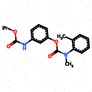 Cc1ccccc1N(C)C(=O)Oc1cccc(NC(=O)OC(C)C)c1